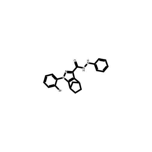 O=C(NNc1ccccc1)c1nn(-c2ccccc2Br)c2c1C1CCC2C1